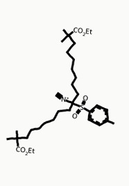 C#[N+]C(CCCCCCCC(C)(C)C(=O)OCC)(CCCCCCCC(C)(C)C(=O)OCC)S(=O)(=O)c1ccc(C)cc1